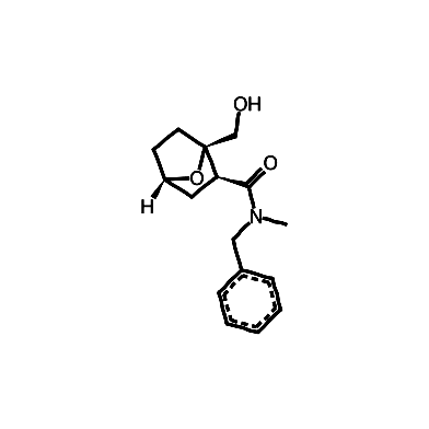 CN(Cc1ccccc1)C(=O)[C@H]1C[C@@H]2CC[C@@]1(CO)O2